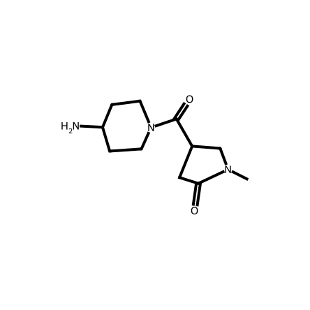 CN1CC(C(=O)N2CCC(N)CC2)CC1=O